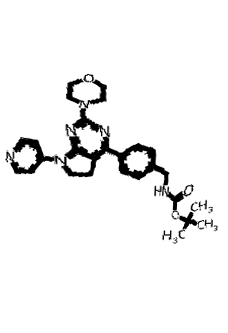 CC(C)(C)OC(=O)NCc1ccc(-c2nc(N3CCOCC3)nc3c2CCN3c2ccncc2)cc1